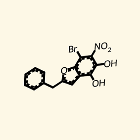 O=[N+]([O-])c1c(O)c(O)c2cc(Cc3ccccc3)oc2c1Br